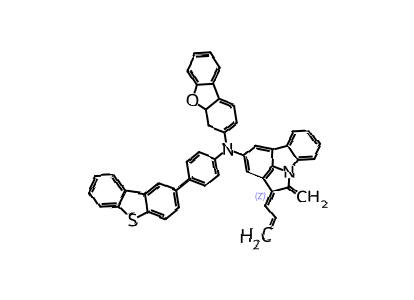 C=C/C=c1\c(=C)n2c3ccccc3c3cc(N(C4=CC=C5c6ccccc6OC5C4)c4ccc(-c5ccc6sc7ccccc7c6c5)cc4)cc1c32